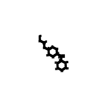 CCOCC1CCC(NC2CCCCC2)CC1